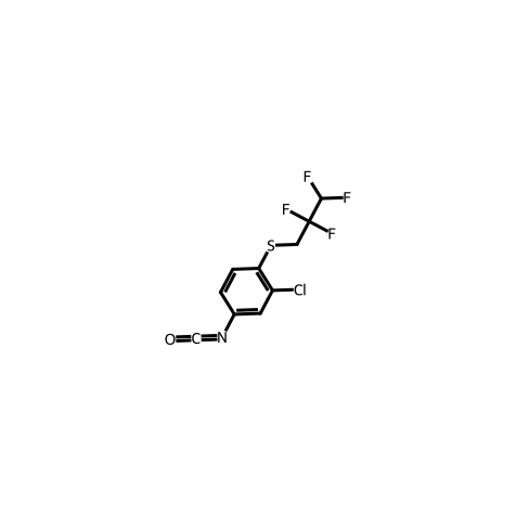 O=C=Nc1ccc(SCC(F)(F)C(F)F)c(Cl)c1